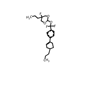 CCCC1CC=C(c2ccc(C(F)(F)OC3OCC(F)(CCC)CO3)cc2)CC1